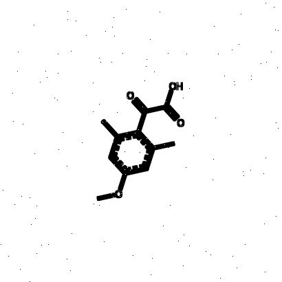 COc1cc(C)c(C(=O)C(=O)O)c(C)c1